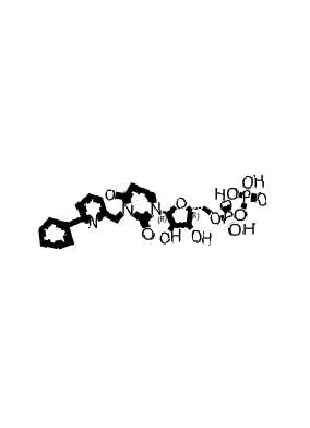 O=c1ccn([C@@H]2O[C@H](COP(=O)(O)OP(=O)(O)O)C(O)C2O)c(=O)n1Cc1cccc(-c2ccccc2)n1